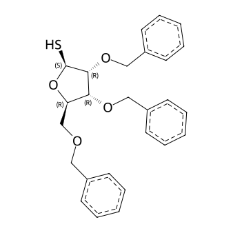 S[C@@H]1O[C@H](COCc2ccccc2)[C@@H](OCc2ccccc2)[C@H]1OCc1ccccc1